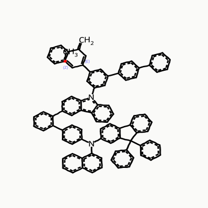 C=C(/C=C(\C=C/C)c1cc(-c2ccc(-c3ccccc3)cc2)cc(-n2c3ccccc3c3cc(-c4ccccc4-c4ccc(N(c5ccc6c(c5)C(c5ccccc5)(c5ccccc5)c5ccccc5-6)c5cccc6ccccc56)cc4)ccc32)c1)c1ccccc1